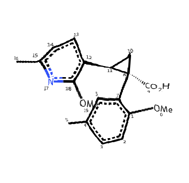 COc1ccc(C)cc1[C@]1(C(=O)O)C[C@@H]1c1ccc(C)nc1OC